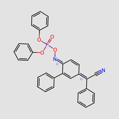 N#C/C(=C1C=C/C(=N\OP(=O)(Oc2ccccc2)Oc2ccccc2)C(c2ccccc2)=C\1)c1ccccc1